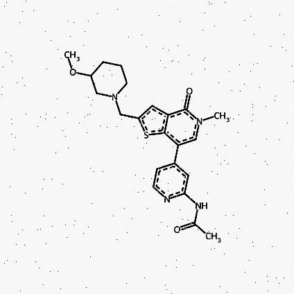 COC1CCCN(Cc2cc3c(=O)n(C)cc(-c4ccnc(NC(C)=O)c4)c3s2)C1